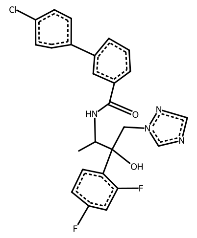 CC(NC(=O)c1cccc(-c2ccc(Cl)cc2)c1)C(O)(Cn1cncn1)c1ccc(F)cc1F